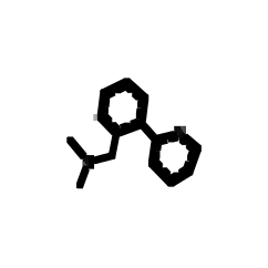 CN(C)Cc1[c]cccc1-c1ccccn1